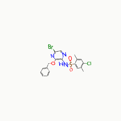 Cc1cc(S(=O)(=O)Nc2ncc(Br)nc2OCc2ccccc2)c(C)cc1Cl